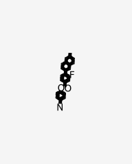 CC1CCC2CC(c3ccc(C(=O)Oc4ccc(C#N)cc4)cc3F)CCC2C1